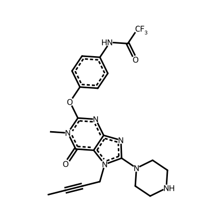 CC#CCn1c(N2CCNCC2)nc2nc(Oc3ccc(NC(=O)C(F)(F)F)cc3)n(C)c(=O)c21